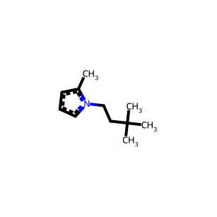 Cc1cccn1CCC(C)(C)C